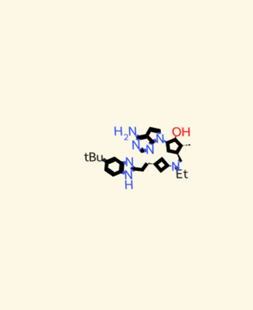 CCN(C[C@H]1C[C@@H](n2ccc3c(N)ncnc32)[C@H](O)[C@@H]1C)[C@H]1C[C@@H](CCc2nc3cc(C(C)(C)C)ccc3[nH]2)C1